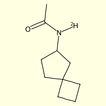 [2H]N(C(C)=O)C1CCC2(CCC2)C1